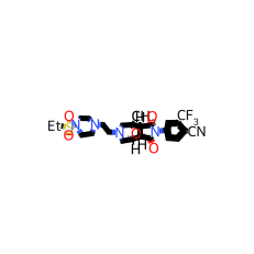 CCS(=O)(=O)N1CCN(CCN2C[C@H]3O[C@](C)(C2)[C@@H]2C(=O)N(c4ccc(C#N)c(C(F)(F)F)c4)C(=O)[C@@H]23)CC1